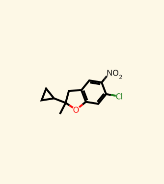 CC1(C2CC2)Cc2cc([N+](=O)[O-])c(Cl)cc2O1